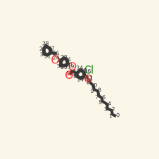 CCCCCCCCCCCCOc1ccc(C(=O)Oc2ccc(OCc3ccccc3)cc2)cc1Cl